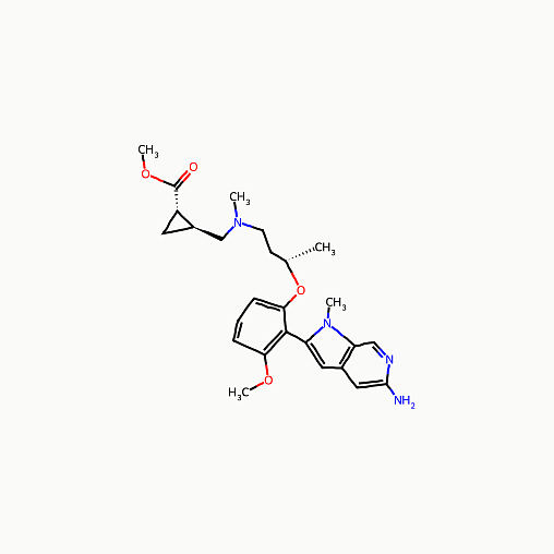 COC(=O)[C@H]1C[C@@H]1CN(C)CC[C@H](C)Oc1cccc(OC)c1-c1cc2cc(N)ncc2n1C